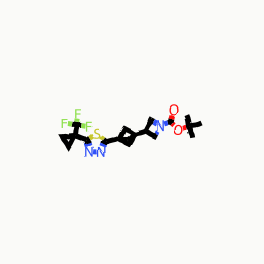 CC(C)(C)OC(=O)N1CC(C23CC(c4nnc(C5(C(F)(F)F)CC5)s4)(C2)C3)C1